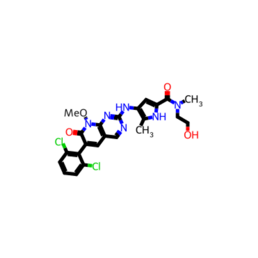 COn1c(=O)c(-c2c(Cl)cccc2Cl)cc2cnc(Nc3cc(C(=O)N(C)CCO)[nH]c3C)nc21